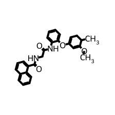 COC1=CC(Oc2ccccc2NC(=O)CNC(=O)c2cccc3ccccc23)=CCC1C